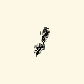 O=C(CN1CC2(CC(CNC(=O)c3cc(F)cc(OC(F)F)c3)C2)C1)NC1(C(F)(F)F)CC1